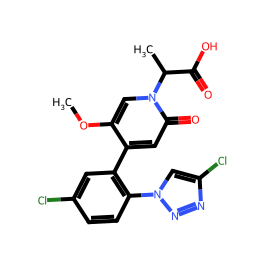 COc1cn(C(C)C(=O)O)c(=O)cc1-c1cc(Cl)ccc1-n1cc(Cl)nn1